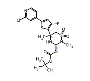 CN1/C(=N/C(=O)OC(C)(C)C)N[C@](C)(c2sc(-c3ccnc(Cl)c3)cc2F)CS1(=O)=O